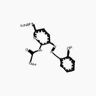 COC(=O)Nc1nc(NC(C)=O)ccc1/N=N/c1ccccc1O